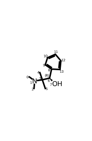 CN(C)C(C)(C)[C@H](O)c1ccccc1